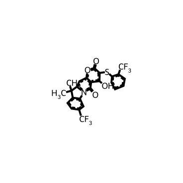 CC1(C)c2ccc(C(F)(F)F)cc2-n2c1cc1oc(=O)c(Sc3ccccc3C(F)(F)F)c(O)c1c2=O